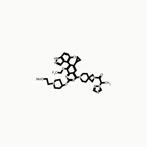 COCCN1CCC(Oc2nc(N3CCC4(CC3)CN(C(=O)C(C)n3cncn3)C4)c3cc(C4CC4)c(-c4c(C)ccc5[nH]ncc45)c(OCC(F)(F)F)c3n2)CC1